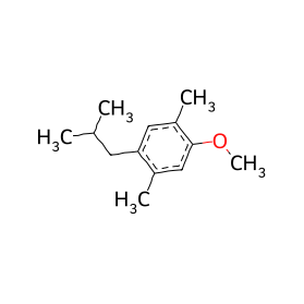 COc1cc(C)c(CC(C)C)cc1C